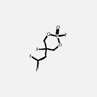 O=P1(F)OCC(F)(CC(F)F)CO1